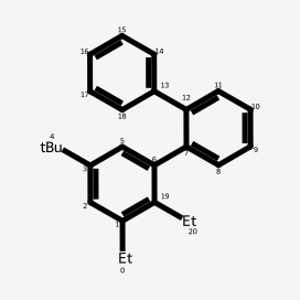 CCc1cc(C(C)(C)C)cc(-c2ccccc2-c2ccccc2)c1CC